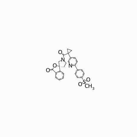 CS(=O)(=O)c1ccc(-c2ccc(C3(C(=O)N4CC[C@@]5(C4)OC(=O)c4ccccc45)CC3)cn2)cc1